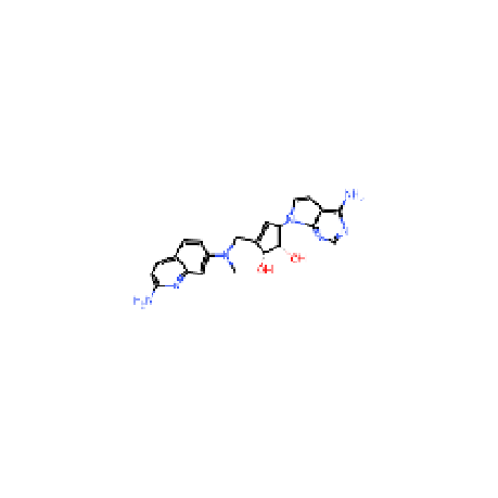 CN(CC1=C[C@@H](n2ccc3c(N)ncnc32)[C@H](O)[C@@H]1O)c1ccc2ccc(N)nc2c1